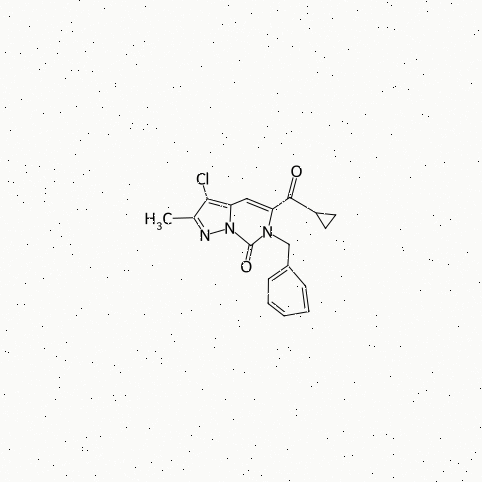 Cc1nn2c(=O)n(Cc3ccccc3)c(C(=O)C3CC3)cc2c1Cl